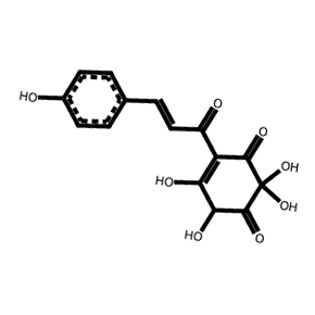 O=C(/C=C/c1ccc(O)cc1)C1=C(O)C(O)C(=O)C(O)(O)C1=O